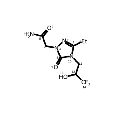 CCc1nn(CC(N)=O)c(=O)n1CC(O)C(F)(F)F